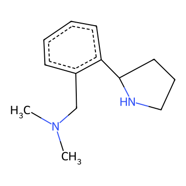 CN(C)Cc1ccccc1C1CCCN1